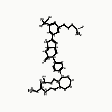 C[C@H](N)CCCc1cc(-c2cc3cn(-c4ccc([C@@H]5CCCC[C@@H](CCNC(=N)CN)N5CCCF)cc4)c(=O)nc3[nH]2)cc(C(F)(F)F)c1